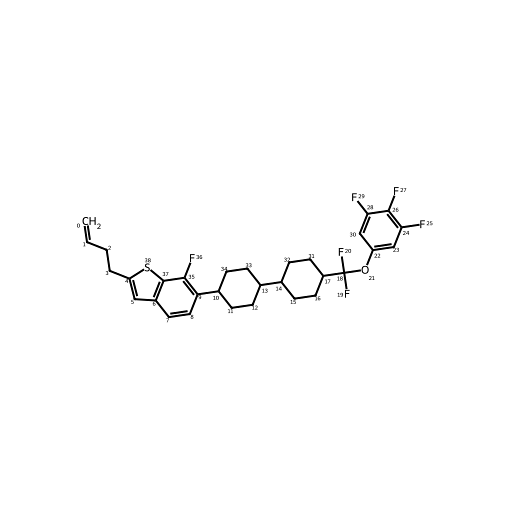 C=CCCc1cc2ccc(C3CCC(C4CCC(C(F)(F)Oc5cc(F)c(F)c(F)c5)CC4)CC3)c(F)c2s1